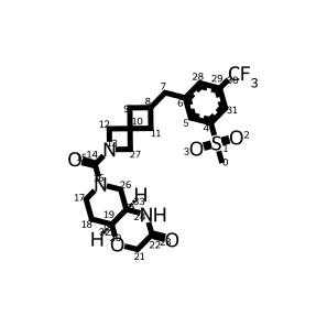 CS(=O)(=O)c1cc(CC2CC3(C2)CN(C(=O)N2CC[C@@H]4OCC(=O)N[C@@H]4C2)C3)cc(C(F)(F)F)c1